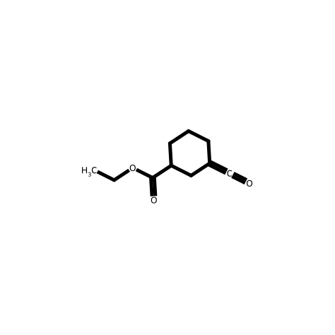 CCOC(=O)C1CCCC(=C=O)C1